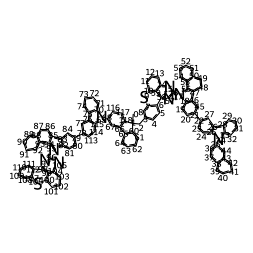 CC1(Cc2ccc3c(c2)Sc2cccc4nc(-n5c6ccc(-c7ccc8c(c7)c7ccccc7n8-c7ccc8ccccc8c7)cc6c6ccc7ccccc7c65)nc-3c24)c2ccccc2-c2cc(-n3c4ccccc4c4cc(-c5ccc6c(c5)c5ccc7ccccc7c5n6-c5nc6c7c(cccc7n5)Sc5ccccc5-6)ccc43)ccc21